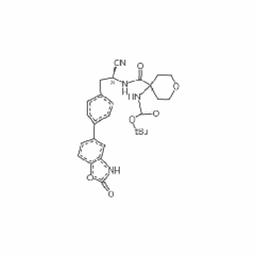 CC(C)(C)OC(=O)NC1(C(=O)N[C@H](C#N)Cc2ccc(-c3ccc4oc(=O)[nH]c4c3)cc2)CCOCC1